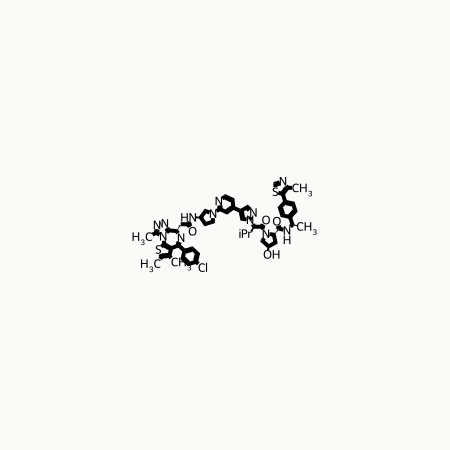 Cc1ncsc1-c1ccc([C@H](C)NC(=O)[C@@H]2C[C@@H](O)CN2C(=O)[C@@H](C(C)C)n2cc(-c3ccnc(N4CC[C@@H](NC(=O)C[C@@H]5N=C(c6ccc(Cl)cc6)c6c(sc(C)c6C)-n6c(C)nnc65)C4)c3)cn2)cc1